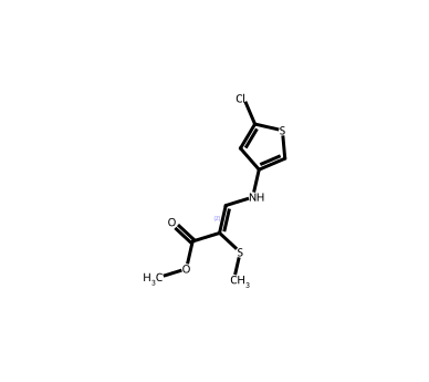 COC(=O)/C(=C/Nc1csc(Cl)c1)SC